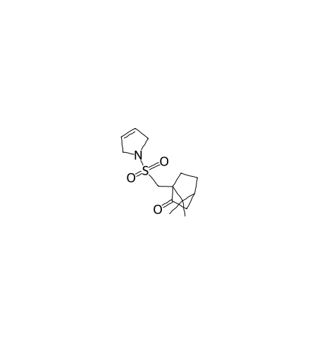 CC1(C)C2CCC1(CS(=O)(=O)N1CC=CC1)C(=O)C2